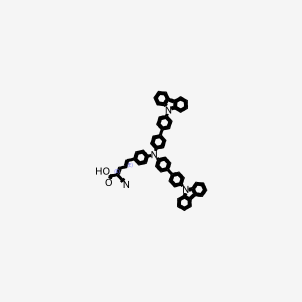 N#C/C(=C\C=C\c1ccc(N(c2ccc(-c3ccc(-n4c5ccccc5c5ccccc54)cc3)cc2)c2ccc(-c3ccc(-n4c5ccccc5c5ccccc54)cc3)cc2)cc1)C(=O)O